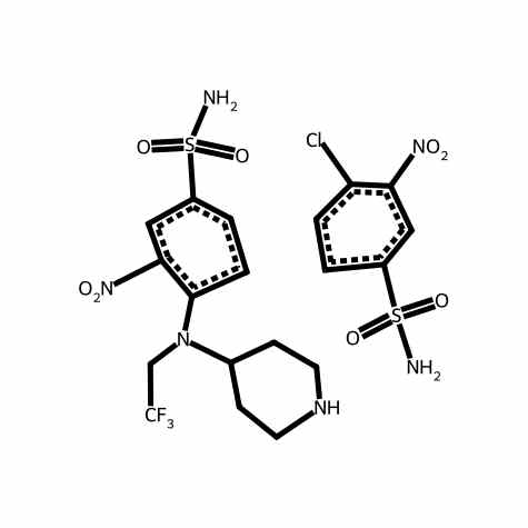 NS(=O)(=O)c1ccc(Cl)c([N+](=O)[O-])c1.NS(=O)(=O)c1ccc(N(CC(F)(F)F)C2CCNCC2)c([N+](=O)[O-])c1